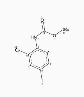 CC(C)(C)OC(=O)Nc1ccc(I)cc1Cl